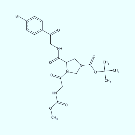 COC(=O)NCC(=O)N1CN(C(=O)OC(C)(C)C)CC1C(=O)NCC(=O)c1ccc(Br)cc1